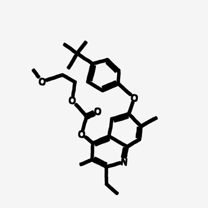 CCc1nc2cc(C)c(Oc3ccc(C(C)(C)C)cc3)cc2c(OC(=O)OCCOC)c1C